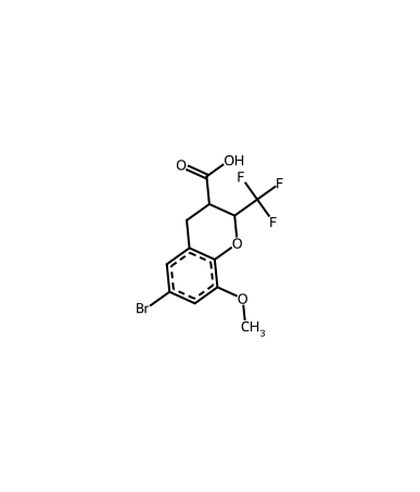 COc1cc(Br)cc2c1OC(C(F)(F)F)C(C(=O)O)C2